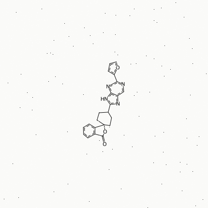 O=C1OC2(CCC(c3nc4cnc(-c5ccco5)nc4[nH]3)CC2)c2ccccc21